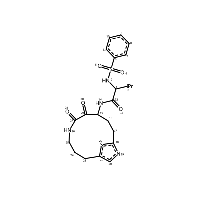 CC(C)C(NS(=O)(=O)c1ccccc1)C(=O)NC1CCc2ncc(s2)CCCNC(=O)C1=O